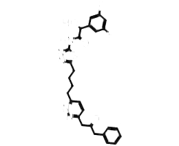 O=C(Cc1ccccc1)Cc1ccc(CCCCc2nnc(NC(=O)C(O)c3cc(F)cc(F)c3)s2)nn1